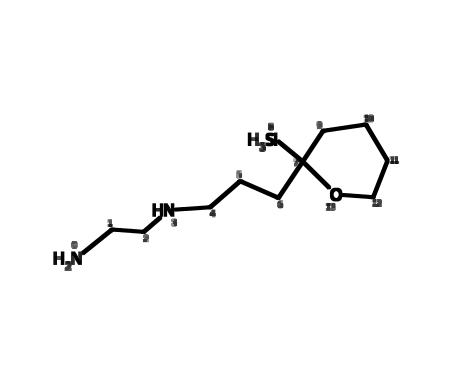 NCCNCCCC1([SiH3])CCCCO1